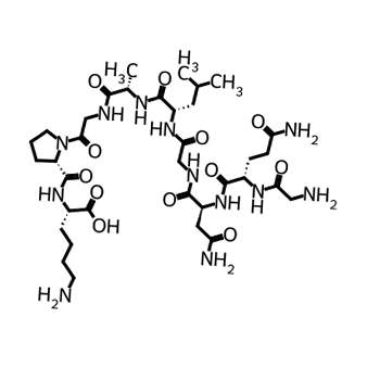 CC(C)C[C@H](NC(=O)CNC(=O)[C@H](CC(N)=O)NC(=O)[C@H](CCC(N)=O)NC(=O)CN)C(=O)N[C@@H](C)C(=O)NCC(=O)N1CCC[C@H]1C(=O)N[C@@H](CCCCN)C(=O)O